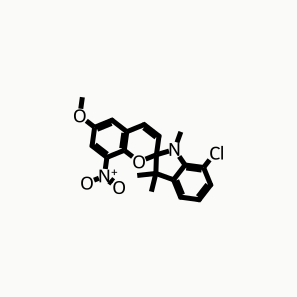 COc1cc2c(c([N+](=O)[O-])c1)OC1(C=C2)N(C)c2c(Cl)cccc2C1(C)C